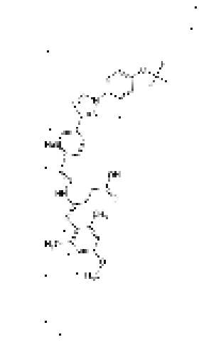 COc1cc(C)c(/N=C(/N/N=C/c2ccc(-c3ncn(-c4ccc(OC(F)(F)F)cc4)n3)cc2)SCC(=O)O)c(C)c1.[NaH]